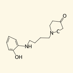 O=C1CCN(CCCCNc2ccccc2O)CC1